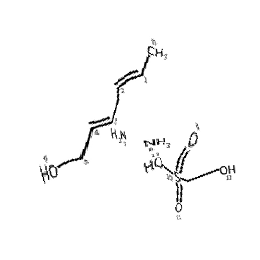 C/C=C/C=C/CO.N.N.O=S(=O)(O)O